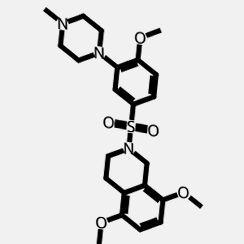 COc1ccc(S(=O)(=O)N2CCc3c(OC)ccc(OC)c3C2)cc1N1CCN(C)CC1